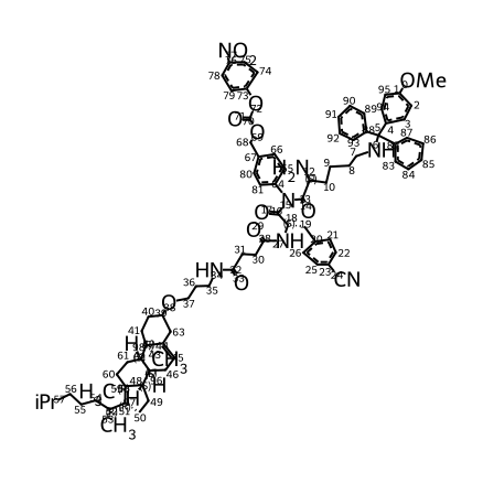 COc1ccc(C(NCCCC[C@H](N)C(=O)N(C(=O)[C@H](Cc2ccc(C#N)cc2)NC(=O)CCC(=O)NCCCOC2CC[C@@]3(C)C(=CC[C@H]4[C@@H]5CC[C@H]([C@H](C)CCCC(C)C)[C@@]5(C)CC[C@@H]43)C2)c2ccc(COC(=O)Oc3ccc([N+](=O)[O-])cc3)cc2)(c2ccccc2)c2ccccc2)cc1